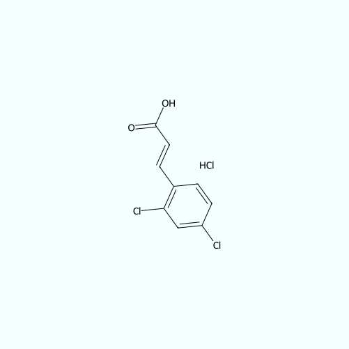 Cl.O=C(O)C=Cc1ccc(Cl)cc1Cl